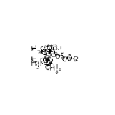 CC(C)(C)OC(=O)N1C(C)(C)OC[C@@]1(CCc1ccc(Sc2cccc(OCc3ccccc3)c2)cc1Cl)COP1(=O)OC(C)(C)CC(C)(C)O1